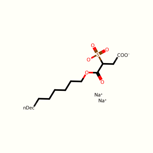 CCCCCCCCCCCCCCCCOC(=O)C(CC(=O)[O-])S(=O)(=O)[O-].[Na+].[Na+]